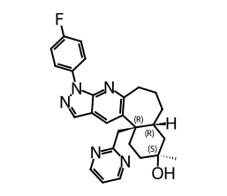 C[C@]1(O)CC[C@]2(Cc3ncccn3)c3cc4cnn(-c5ccc(F)cc5)c4nc3CCC[C@@H]2C1